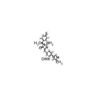 COc1cc(/C=C2\N=C(N)N([C@@H](C)c3ccc(F)cc3)C2=O)ccc1-n1cnc(C)c1